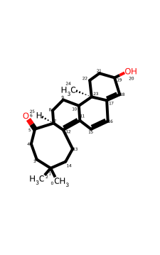 CC1(C)CCC(=O)[C@H]2CCC3C(=C2CC1)C=CC1=CC(O)CC[C@@]13C